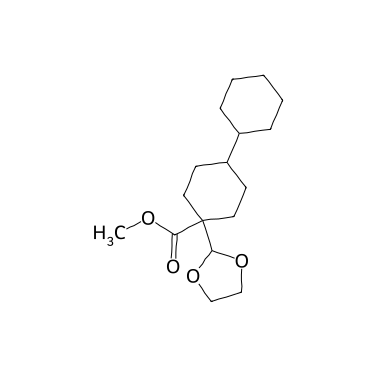 COC(=O)C1(C2OCCO2)CCC(C2CCCCC2)CC1